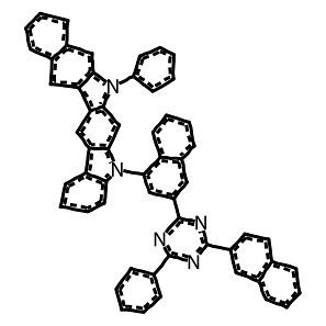 c1ccc(-c2nc(-c3ccc4ccccc4c3)nc(-c3cc(-n4c5ccccc5c5cc6c7cc8ccccc8cc7n(-c7ccccc7)c6cc54)c4ccccc4c3)n2)cc1